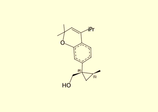 CC(C)C1=CC(C)(C)Oc2cc([C@@]3(CO)C[C@@H]3C)ccc21